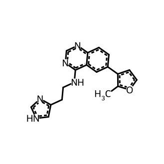 Cc1occc1-c1ccc2ncnc(NCCc3c[nH]cn3)c2c1